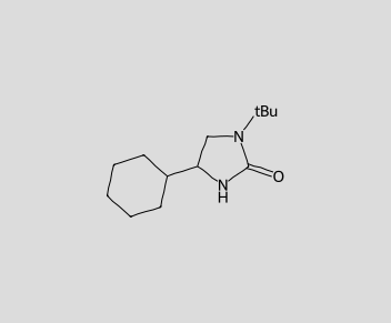 CC(C)(C)N1CC(C2CCCCC2)NC1=O